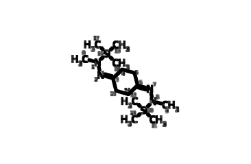 CN(N=C1CCC(=NN(C)[Si](C)(C)C)CC1)[Si](C)(C)C